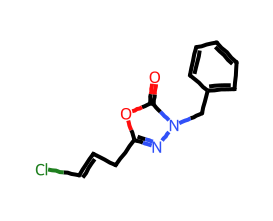 O=c1oc(CC=CCl)nn1Cc1ccccc1